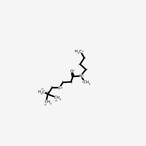 CCCCN(C)C(=O)CCSCC(C)(C)C